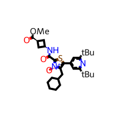 COC(=O)[C@H]1C[C@H](NC(=O)c2sc(-c3cc(C(C)(C)C)nc(C(C)(C)C)c3)c(CC3CCCCC3)[n+]2[O-])C1